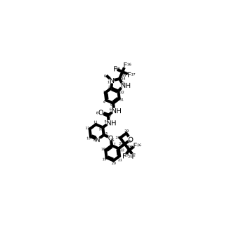 CN1c2ccc(NC(=O)NC3CCC=NC3Oc3ccccc3C3(C(F)(F)F)CCO3)cc2NC1C(F)(F)F